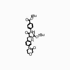 CC(C)(C)OC(=O)N[C@@H](Cc1ccc(N2CCOCC2=O)cc1)C(=O)Nc1ccc(C(=O)OC(C)(C)C)cc1